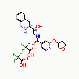 O=C(NC[C@@H](O)[C@@H]1Cc2ccccc2CN1)c1ccnc(OC2CCOC2)c1.O=C(O)C(F)(F)F.O=C(O)C(F)(F)F